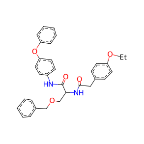 CCOc1ccc(CC(=O)NC(COCc2ccccc2)C(=O)Nc2ccc(Oc3ccccc3)cc2)cc1